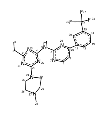 CCc1nc(Nc2nccc(-c3cccc(C(F)(F)F)c3)n2)nc(N2CCN(C)CC2)n1